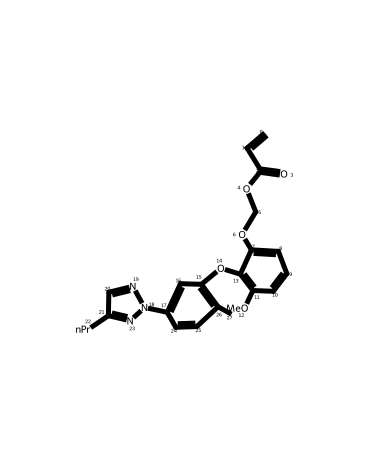 C=CC(=O)OCOc1cccc(OC)c1Oc1cc(-n2ncc(CCC)n2)ccc1C